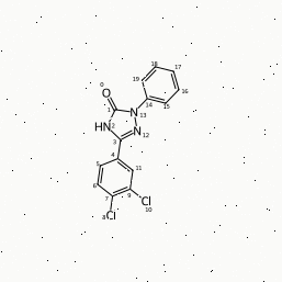 O=c1[nH]c(-c2ccc(Cl)c(Cl)c2)nn1-c1ccccc1